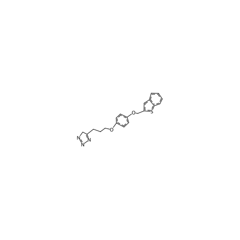 c1ccc2sc(COc3ccc(OCCCC4=NN=NC4)cc3)cc2c1